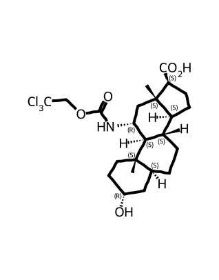 C[C@]12CC[C@@H](O)C[C@@H]1CC[C@@H]1[C@@H]2[C@H](NC(=O)OCC(Cl)(Cl)Cl)C[C@]2(C)[C@@H](C(=O)O)CC[C@@H]12